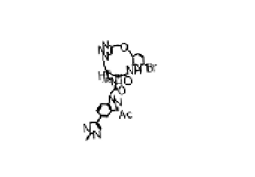 CC(=O)c1nn(CC(=O)N2[C@H](C)[C@@H]3C[C@H]2C(=O)Nc2nc(Br)ccc2COCc2cn(nn2)C3)c2ccc(-c3cnc(C)nc3)cc12